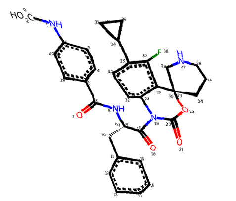 O=C(O)Nc1ccc(C(=O)N[C@@H](Cc2ccccc2)C(=O)N2C(=O)O[C@]3(CCCNC3)c3c2ccc(C2CC2)c3F)cc1